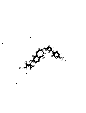 O=C(CO)C1(Oc2ccc3c(c2)CCN(Cc2ccc(-c4ccc(C(F)(F)F)cc4)s2)CC3)CC1